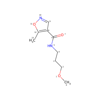 COCCCNC(=O)c1cnoc1C